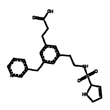 O=C(O)CCc1cc(CCNS(=O)(=O)C2C=CCN2)cc(Cc2cccnc2)c1